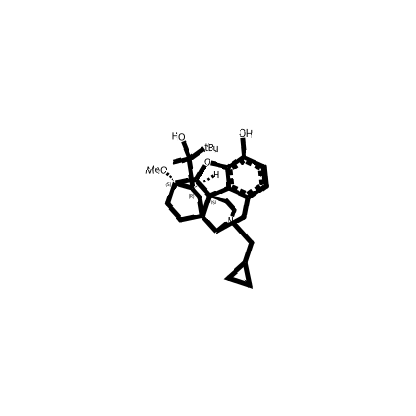 CO[C@@]12CCC3(C[C@@H]1C(C)(O)C(C)(C)C)C1Cc4ccc(O)c5c4[C@@]3(CCN1CC1CC1)C2O5